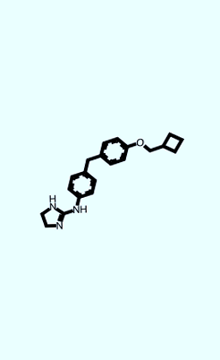 c1cc(NC2=NCCN2)ccc1Cc1ccc(OCC2CCC2)cc1